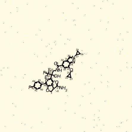 C[C@]1(C(N)=O)COc2c1cc(C(O)(CNC(=O)c1cc(OC3CC3)c3nn(C4CC4)cc3c1)C(F)(F)F)nc2-c1ccc(F)cc1